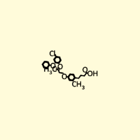 Cc1cc(OCC[C@@H](C)Oc2ccc(Cl)cc2Oc2ccccc2)ccc1CCCC(=O)O